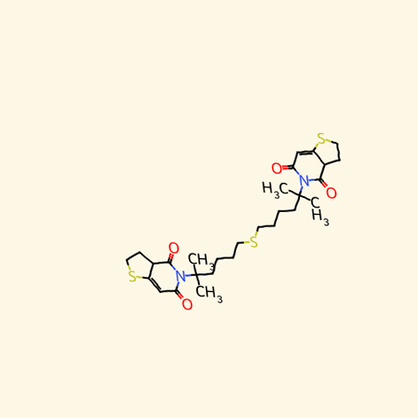 CC(C)(CCCCSCCCCC(C)(C)N1C(=O)C=C2SCCC2C1=O)N1C(=O)C=C2SCCC2C1=O